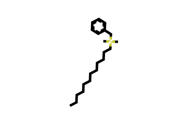 CCCCCCCCCCCCS(C)(C)Cc1ccccc1